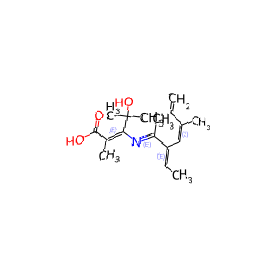 C=C\C(C)=C/C(=C\C)C(/C)=N/C(=C(\C)C(=O)O)C(C)(C)O